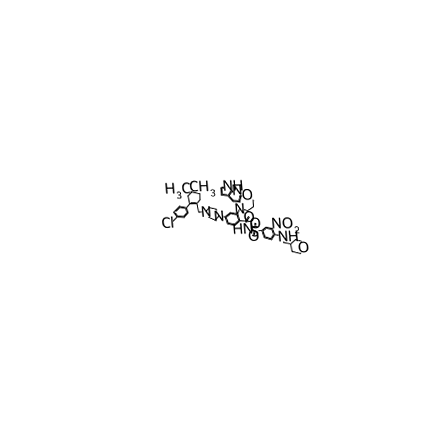 CC1(C)CCC(CN2CCN(c3ccc(C(=O)NS(=O)(=O)c4ccc(NCC5CCOCC5)c([N+](=O)[O-])c4)c(N4CCCOc5nc6[nH]ccc6cc54)c3)CC2)=C(c2ccc(Cl)cc2)C1